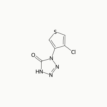 O=c1[nH]nnn1-c1cscc1Cl